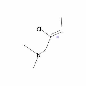 C/C=C(\Cl)CN(C)C